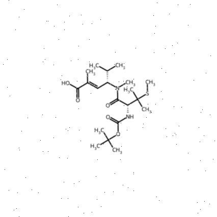 CSC(C)(C)[C@H](NC(=O)OC(C)(C)C)C(=O)N(C)[C@H](C=C(C)C(=O)O)C(C)C